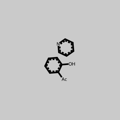 CC(=O)c1ccccc1O.c1ccncc1